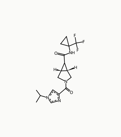 CC(C)n1cnc(C(=O)N2C[C@@H]3C(C(=O)NC4(C(F)(F)F)CC4)[C@@H]3C2)c1